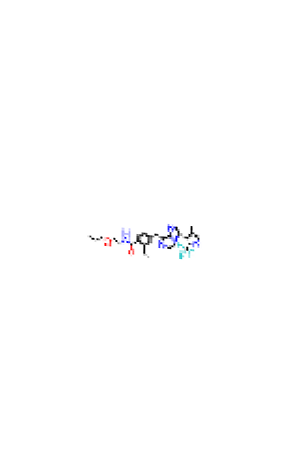 CCCOCCNC(=O)c1ccc(Cc2nccn3c(C4=C(C)CN=C4C(F)(F)F)cnc23)cc1CC